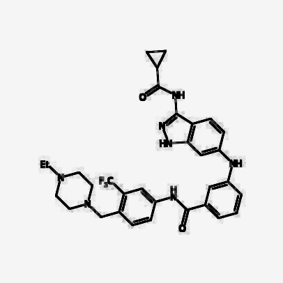 CCN1CCN(Cc2ccc(NC(=O)c3cccc(Nc4ccc5c(NC(=O)C6CC6)n[nH]c5c4)c3)cc2C(F)(F)F)CC1